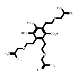 C=C(C)COCCc1c(CCOCC(=C)C)c(C(=O)O)c(C(=O)O)c(CCOCC(=C)C)c1C(=O)O